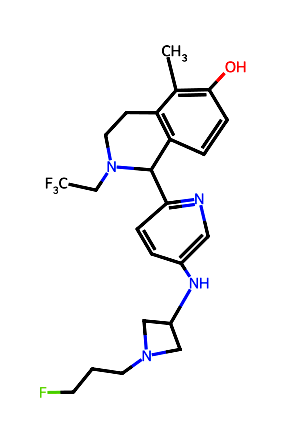 Cc1c(O)ccc2c1CCN(CC(F)(F)F)C2c1ccc(NC2CN(CCCF)C2)cn1